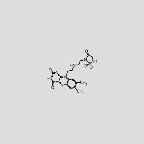 Cc1cc2nc3c(=O)[nH]c(=O)nc-3n(CCNCCN3C(=O)CNS3(=O)=O)c2cc1C